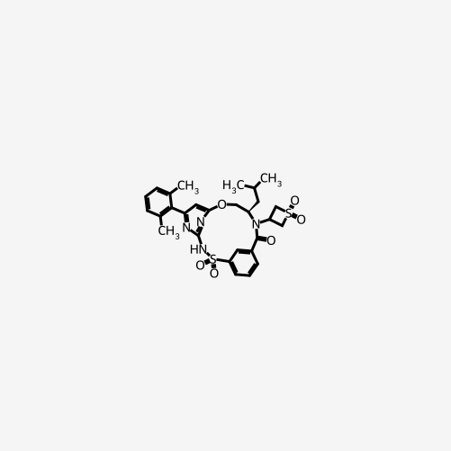 Cc1cccc(C)c1-c1cc2nc(n1)NS(=O)(=O)c1cccc(c1)C(=O)N(C1CS(=O)(=O)C1)[C@H](CC(C)C)CO2